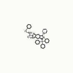 C[C@@H](CNC(=O)c1nc2cc3c(N4C=CC=CC4)nn(C(c4ccccc4)(c4ccccc4)c4ccccc4)c3cc2[nH]1)c1ccccc1